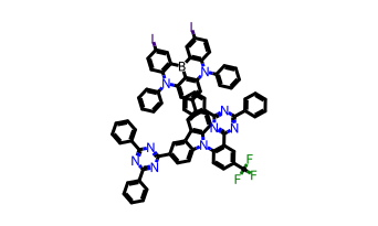 FC(F)(F)c1ccc(-n2c3ccc(-c4cc5c6c(c4)N(c4ccccc4)c4ccc(I)cc4B6c4cc(I)ccc4N5c4ccccc4)cc3c3cc(-c4nc(-c5ccccc5)nc(-c5ccccc5)n4)ccc32)c(-c2nc(-c3ccccc3)nc(-c3ccccc3)n2)c1